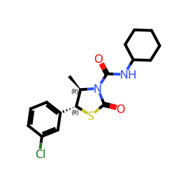 C[C@@H]1[C@@H](c2cccc(Cl)c2)SC(=O)N1C(=O)NC1CCCCC1